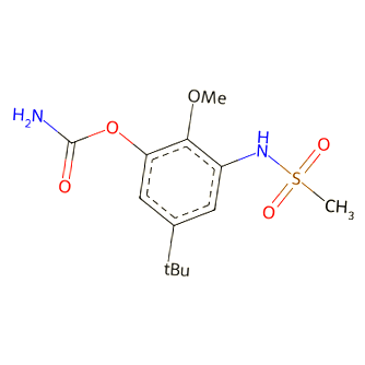 COc1c(NS(C)(=O)=O)cc(C(C)(C)C)cc1OC(N)=O